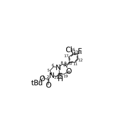 CC(C)(C)OC(=O)N1CCN2C[C@@H](c3ccc(F)c(Cl)c3)OC[C@@H]2C1